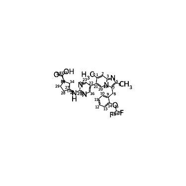 Cc1cc2nc(C)c(Cc3ccccc3OC(F)F)n2cc1-c1cnc(N[C@H]2CC[C@@H](C(=O)O)C2)nc1